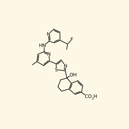 Cc1cc(Nc2cc(C(C)F)ccn2)nc(-c2cnc(C3(O)CCCc4cc(C(=O)O)ccc43)s2)c1